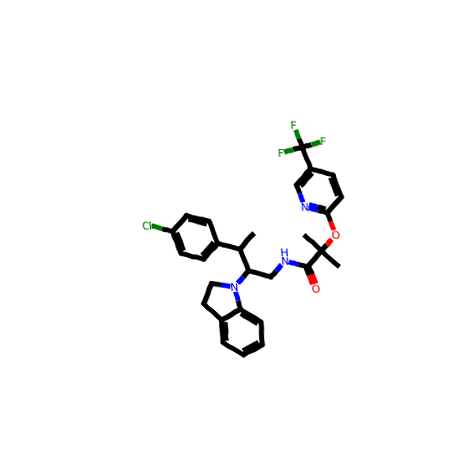 CC(c1ccc(Cl)cc1)C(CNC(=O)C(C)(C)Oc1ccc(C(F)(F)F)cn1)N1CCc2ccccc21